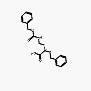 O=C(NCC[C@H](OCc1ccccc1)C(=O)O)OCc1ccccc1